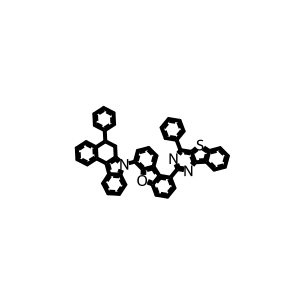 c1ccc(-c2nc(-c3cccc4oc5c(-n6c7c(c8ccccc86)-c6ccccc6C(c6ccccc6)C7)cccc5c34)nc3c2sc2ccccc23)cc1